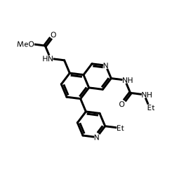 CCNC(=O)Nc1cc2c(-c3ccnc(CC)c3)ccc(CNC(=O)OC)c2cn1